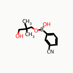 CC(C)(CO)COB(O)c1cccc(C#N)c1